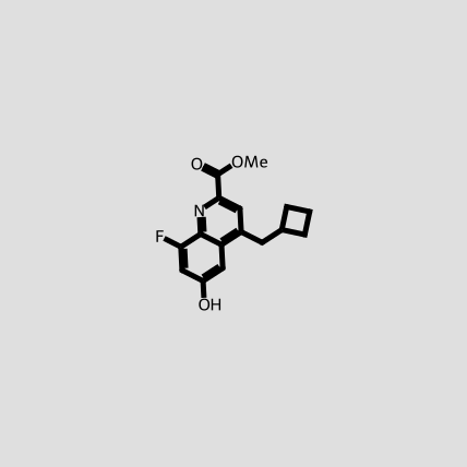 COC(=O)c1cc(CC2CCC2)c2cc(O)cc(F)c2n1